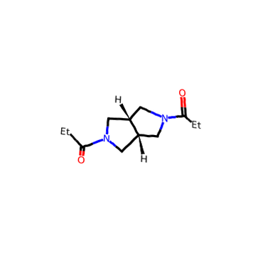 CCC(=O)N1C[C@H]2CN(C(=O)CC)C[C@H]2C1